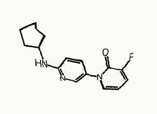 O=c1c(F)cccn1-c1ccc(NC2CCCC2)nc1